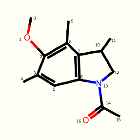 COc1c(C)cc2c(c1C)C(C)CN2C(C)=O